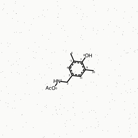 CC(=O)ONCc1cc(C)c(O)c(C)c1